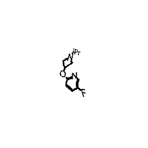 CC(C)N1CC(Oc2ccc(F)cn2)C1